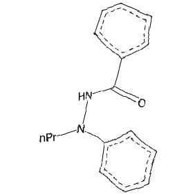 CCCN(NC(=O)c1ccccc1)c1ccccc1